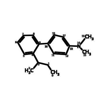 CCC(C)c1ccccc1-c1ccc(N(C)C)cc1